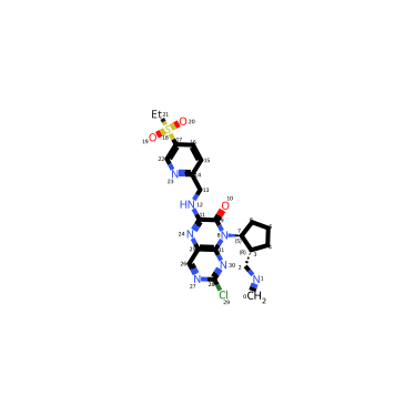 C=NC[C@H]1CCC[C@@H]1n1c(=O)c(NCc2ccc(S(=O)(=O)CC)cn2)nc2cnc(Cl)nc21